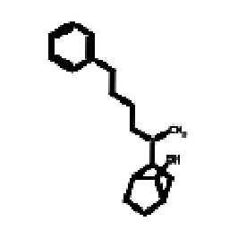 CN(CCCCc1ccccc1)C1CC2CCC1C2O